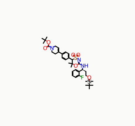 CC(C)(C)OC(=O)N1CC=C(c2ccc(C3C(C)(C)OC(N[C@@H](CCO[Si](C)(C)C(C)(C)C)c4ccccc4F)=NS3(=O)=O)cc2)CC1